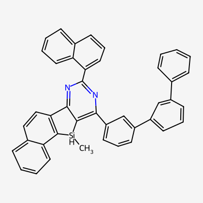 C[SiH]1c2c(-c3cccc(-c4cccc(-c5ccccc5)c4)c3)nc(-c3cccc4ccccc34)nc2-c2ccc3ccccc3c21